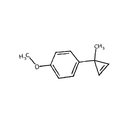 COc1ccc(C2(C)C=C2)cc1